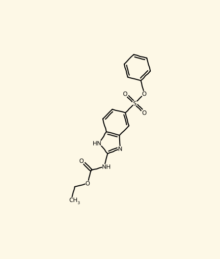 CCOC(=O)Nc1nc2cc(S(=O)(=O)Oc3ccccc3)ccc2[nH]1